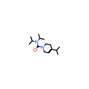 CC(C)C1=CCN(C(=O)N(C(C)C)C(C)C)CC1